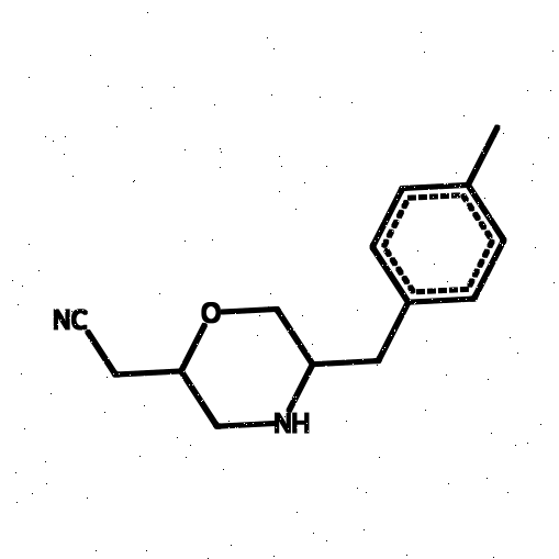 Cc1ccc(CC2COC(CC#N)CN2)cc1